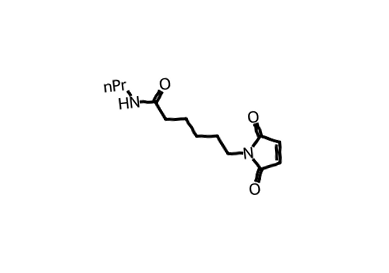 CCCNC(=O)CCCCCN1C(=O)C=CC1=O